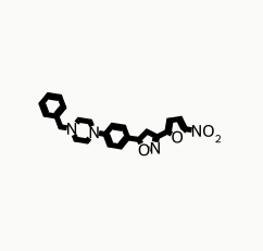 O=[N+]([O-])c1ccc(C2=NOC(c3ccc(N4CCN(Cc5ccccc5)CC4)cc3)C2)o1